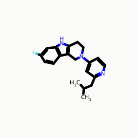 CC(C)Cc1cc(N2CCc3[nH]c4cc(F)ccc4c3C2)ccn1